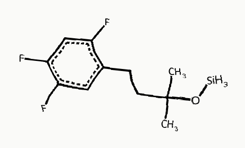 CC(C)(CCc1cc(F)c(F)cc1F)O[SiH3]